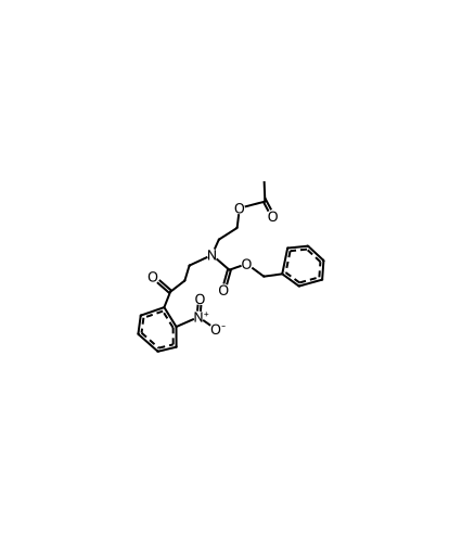 CC(=O)OCCN(CCC(=O)c1ccccc1[N+](=O)[O-])C(=O)OCc1ccccc1